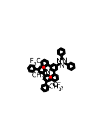 Cc1ccccc1-c1ccc2c(c1)c1cc(-c3ccccc3C)ccc1n2-c1c(-c2ccc(C(F)(F)F)cc2)cc(-c2nc(-c3ccccc3)nc(-c3ccccc3)n2)cc1-c1ccc(C(F)(F)F)cc1